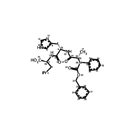 CC(C)C[C@H](NC(=O)[C@H](Cc1c[nH]cn1)NC(=O)[C@H](C)N(C(=O)OCc1ccccc1)c1ccccc1)C(=O)O